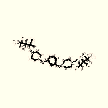 FC(F)(F)C(F)(F)C(F)(F)C(F)(F)SN1CCN(Sc2cccc(SN3CCN(SC(F)(F)C(F)(F)C(F)(F)C(F)(F)F)CC3)c2)CC1